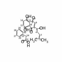 CC(C)=CCC(O)C1=CC(=O)c2c(O)ccc(O)c2C1=O.O=C(O)Cc1ccccc1